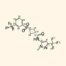 Cn1nc(C(F)(F)F)cc1NC(=O)[C@H]1C[C@@H](S(=O)(=O)c2cccc(C(F)(F)F)c2)C1